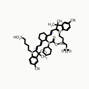 CC(C)(C)OC(=O)N(C1=C(/C=C/C2=[N+](CCCC[SH](=O)=O)c3ccc(C#N)cc3C2(C)C)CCC/C1=C\C=C1\N(CCCCS(=O)(=O)O)c2ccc(C#N)cc2C1(C)C)C1CCCCC1